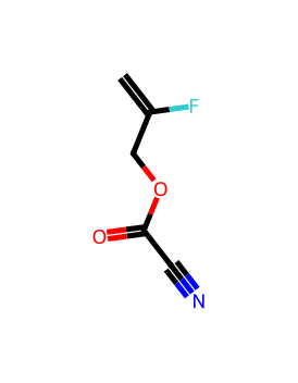 C=C(F)COC(=O)C#N